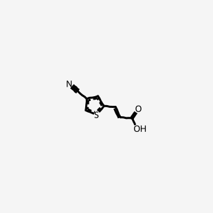 N#Cc1csc(C=CC(=O)O)c1